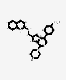 O=C(O)c1ccc(-c2cnc(N3CCOCC3)c3nc(CSc4ccc5ccccc5n4)cn23)cc1